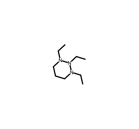 CCN1CCCN(CC)N1CC